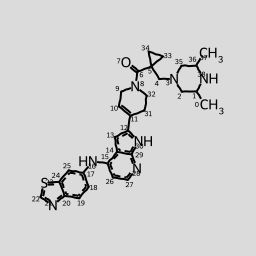 CC1CN(CC2(C(=O)N3CC=C(c4cc5c(Nc6ccc7ncsc7c6)ccnc5[nH]4)CC3)CC2)CC(C)N1